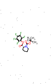 CC(C)(C)OC(=O)N1CCCC[C@@H]1C(=O)Oc1c(F)c(F)c(F)c(F)c1F